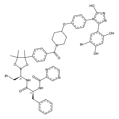 CC(C)C[C@H](NC(=O)[C@H](Cc1ccccc1)NC(=O)c1cnccn1)B1OC(C)(C)C(C)(c2ccc(C(=O)N3CCC(Oc4ccc(-n5c(O)nnc5-c5cc(C(C)C)c(O)cc5O)cc4)CC3)cc2)O1